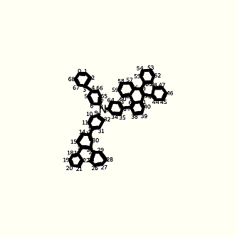 c1ccc(-c2ccc(N(c3ccc(-c4ccc(-c5ccccc5)c(-c5ccccc5)c4)cc3)c3ccc(-c4cccc5c(-c6ccccc6)c(-c6ccccc6)c6ccccc6c45)cc3)cc2)cc1